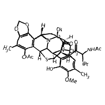 COc1c(C)cc2c(c1O)[C@H]1C3[C@@H]4SC[C@H](NC(=O)C(NC(C)=O)C(C)C)C(=O)OC[C@@H](c5c6c(c(C)c(OC(C)=O)c54)OCO6)N3[C@@H](C#N)[C@@H](C2)N1C